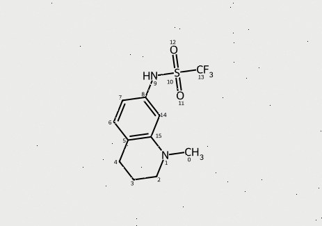 CN1CCCc2ccc(NS(=O)(=O)C(F)(F)F)cc21